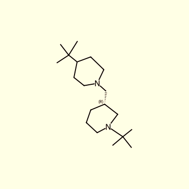 CC(C)(C)C1CCN(C[C@H]2CCCN(C(C)(C)C)C2)CC1